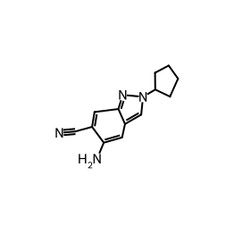 N#Cc1cc2nn(C3CCCC3)cc2cc1N